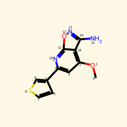 COc1cc(-c2ccsc2)nc2onc(N)c12